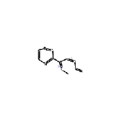 C=C/N=C\C(=N/C)c1nccnn1